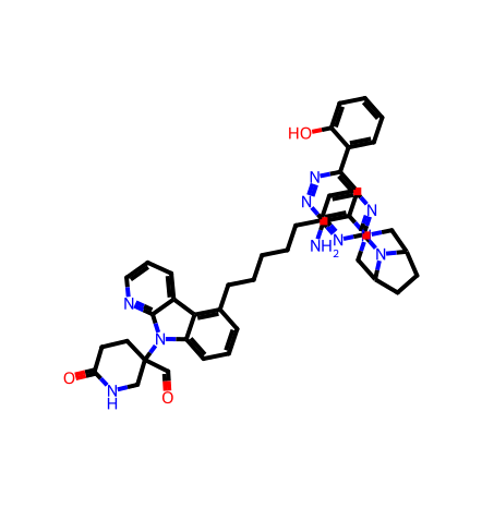 Nc1nnc(-c2ccccc2O)cc1N1CC2CCC(C1)N2c1nccc(CCCCCc2cccc3c2c2cccnc2n3C2(C=O)CCC(=O)NC2)n1